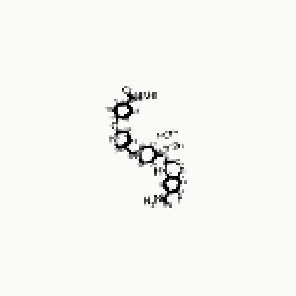 CCCCN(C(=O)Nc1cc(C(N)=O)c(F)cc1F)C1CCN(Cc2ccc(Oc3ccc(C(=O)NC)cc3)nc2)CC1.Cl